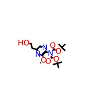 COc1nc(CCO)cnc1N(C(=O)OC(C)(C)C)C(=O)OC(C)(C)C